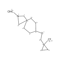 O=CN1CC2(CCC(OCC3(C(F)(F)F)CC3)CC2)C1